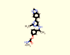 CNC(=O)COc1cccc(C(C)Nc2cc(-c3ccc4c(c3)=NCN=4)nc(C)n2)c1